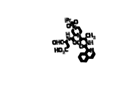 CC(C)S(=O)(=O)N1CCN(C(=O)[C@H](C)NC(=O)c2nccc3ccccc23)[C@H](C(=O)N[C@H](C=O)CC(=O)O)C1